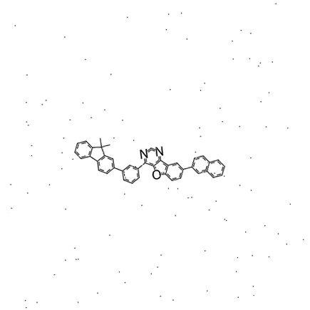 CC1(C)c2ccccc2-c2ccc(-c3cccc(-c4ncnc5c4oc4ccc(-c6ccc7ccccc7c6)cc45)c3)cc21